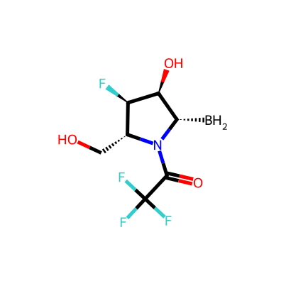 B[C@H]1[C@H](O)[C@H](F)[C@@H](CO)N1C(=O)C(F)(F)F